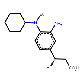 CC[C@H](CC(=O)O)c1ccc(N(CC)C2CCCCC2)c(N)c1